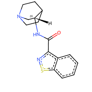 O=C(N[C@@H]1CN2CCC1CC2)c1nsc2ccccc12